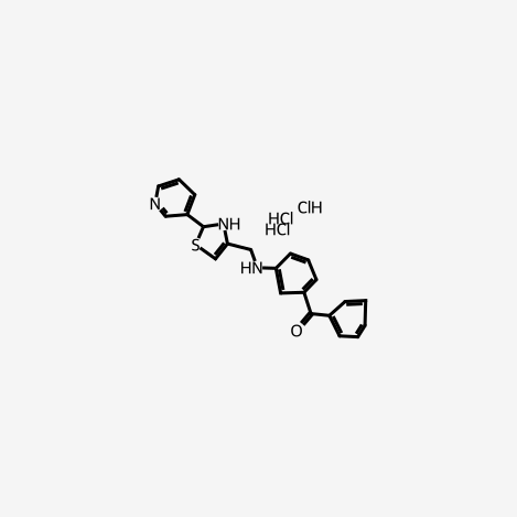 Cl.Cl.Cl.O=C(c1ccccc1)c1cccc(NCC2=CSC(c3cccnc3)N2)c1